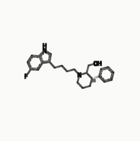 OCC1[C@H](c2ccccc2)CCCN1CCCCc1c[nH]c2ccc(F)cc12